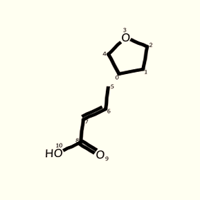 C1CCOC1.CC=CC(=O)O